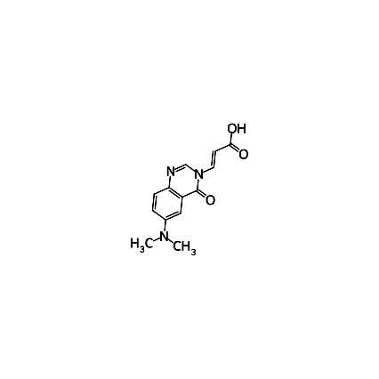 CN(C)c1ccc2ncn(C=CC(=O)O)c(=O)c2c1